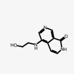 O=c1[nH]ccc2c(NCCO)cncc12